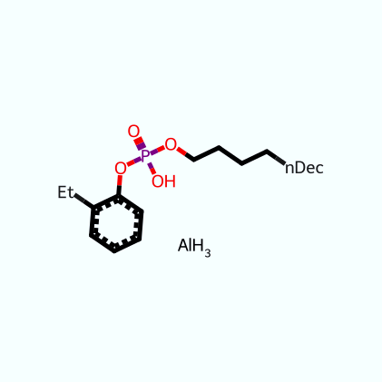 CCCCCCCCCCCCCCOP(=O)(O)Oc1ccccc1CC.[AlH3]